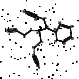 N#CCCP(CCC#N)C(CC#N)C1C=CC=CC1